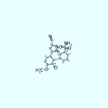 COc1ccc(-c2cc(C#N)nn2-c2ccccc2S(N)(=O)=O)cc1Cl